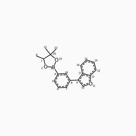 CC1OB(c2cccc(-c3coc4ccccc34)c2)OC1(C)C